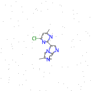 Cc1cn2c(-c3nc(C)cc(Cl)n3)cnc2cn1